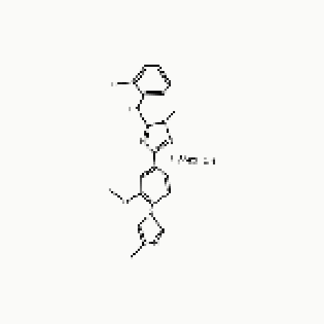 COc1cc(-c2nc(Nc3ccccc3Br)n(C)n2)ccc1-n1cnc(C)c1.Cl.Cl.O